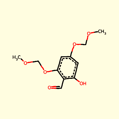 COCOc1cc(O)c(C=O)c(OCOC)c1